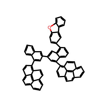 c1ccc2c(-c3ccc4ccc5cccc6ccc3c4c56)cc(-c3cc(-c4ccc5ccc6cccc7ccc4c5c67)c4cccc(-c5ccc6oc7ccccc7c6c5)c4c3)cc2c1